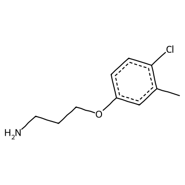 Cc1cc(OCCCN)ccc1Cl